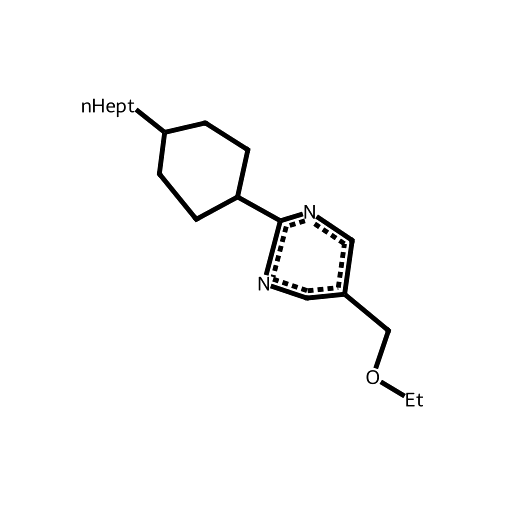 CCCCCCCC1CCC(c2ncc(COCC)cn2)CC1